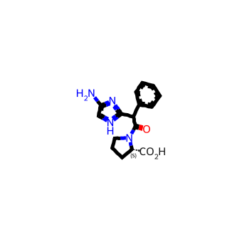 Nc1c[nH]c(C(C(=O)N2CCC[C@H]2C(=O)O)c2ccccc2)n1